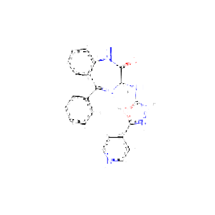 O=C1Nc2ccccc2C(c2ccccc2)=NC1Nc1nnc(-c2ccncc2)o1